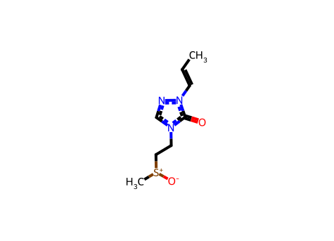 C/C=C/n1ncn(CC[S+](C)[O-])c1=O